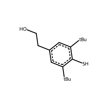 CC(C)(C)c1cc(CCO)cc(C(C)(C)C)c1S